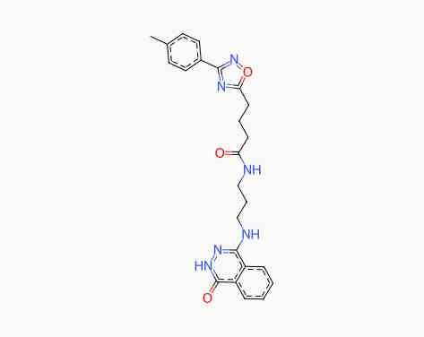 Cc1ccc(-c2noc(CCCC(=O)NCCCNc3n[nH]c(=O)c4ccccc34)n2)cc1